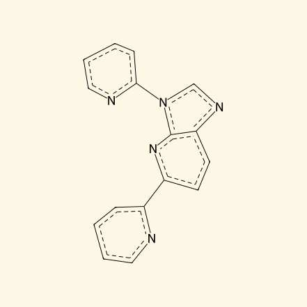 c1ccc(-c2ccc3ncn(-c4ccccn4)c3n2)nc1